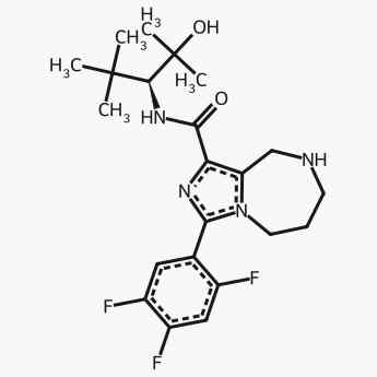 CC(C)(C)[C@H](NC(=O)c1nc(-c2cc(F)c(F)cc2F)n2c1CNCCC2)C(C)(C)O